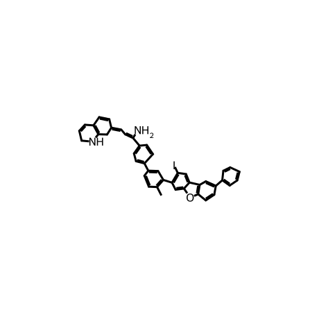 Cc1ccc(-c2ccc(/C(N)=C/C=C3/C=CC4=C(C3)NCC=C4)cc2)cc1-c1cc2oc3ccc(-c4ccccc4)cc3c2cc1I